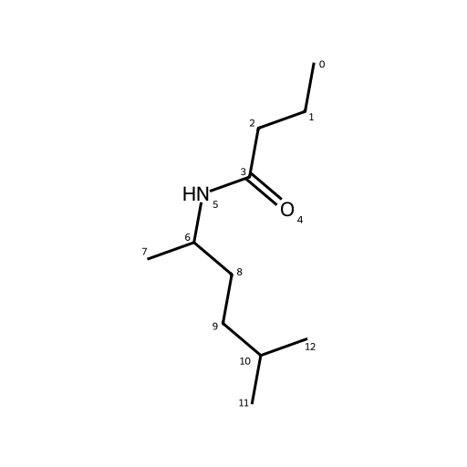 CCCC(=O)NC(C)CCC(C)C